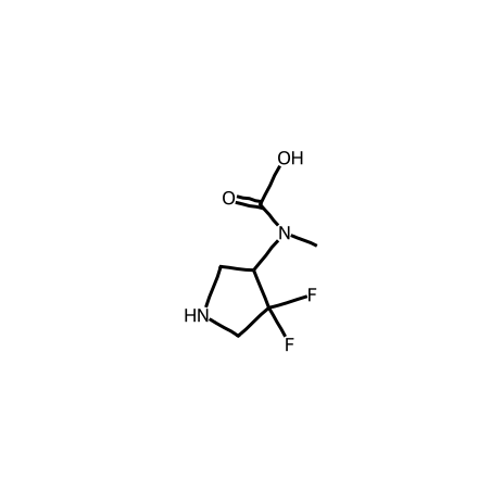 CN(C(=O)O)C1CNCC1(F)F